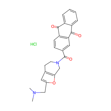 CN(C)Cc1cc2c(o1)CN(C(=O)c1ccc3c(c1)C(=O)c1ccccc1C3=O)CC2.Cl